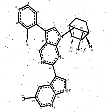 O=C(O)[C@H]1C2CCC(CC2)[C@@H]1n1cc(-c2ccncc2Cl)c2cnc(-c3c[nH]c4ncc(Cl)cc34)nc21